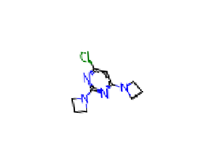 Clc1cc(N2CCC2)nc(N2CCC2)n1